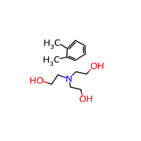 Cc1ccccc1C.OCCN(CCO)CCO